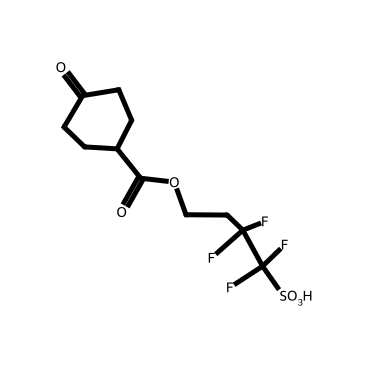 O=C1CCC(C(=O)OCCC(F)(F)C(F)(F)S(=O)(=O)O)CC1